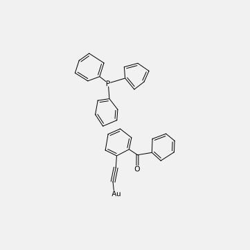 O=C(c1ccccc1)c1ccccc1C#[C][Au].c1ccc(P(c2ccccc2)c2ccccc2)cc1